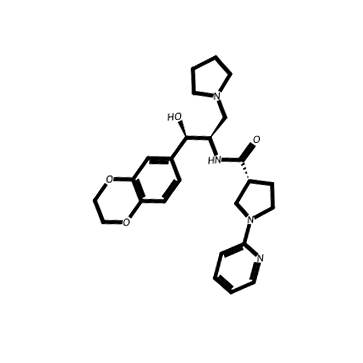 O=C(N[C@H](CN1CCCC1)[C@H](O)c1ccc2c(c1)OCCO2)[C@@H]1CCN(c2ccccn2)C1